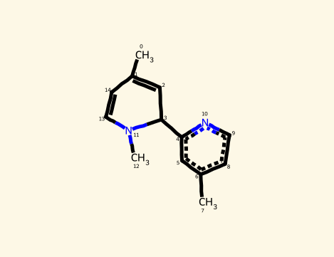 CC1=CC(c2cc(C)ccn2)N(C)C=C1